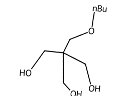 CCCCOCC(CO)(CO)CO